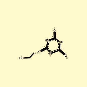 CCO.O=c1[nH]c(=O)[nH]c(=O)[nH]1